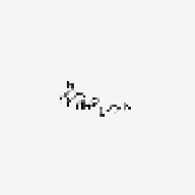 N#Cc1ccc(OCCC(=O)Nc2ccc(C#N)c(C(F)(F)F)c2)cc1